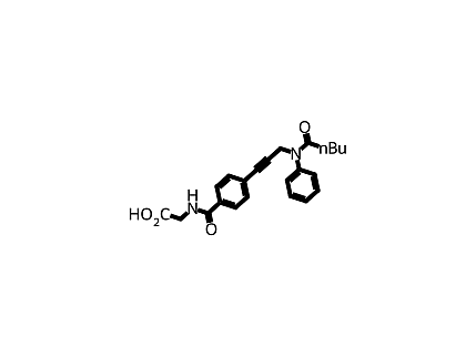 CCCCC(=O)N(CC#Cc1ccc(C(=O)NCC(=O)O)cc1)c1ccccc1